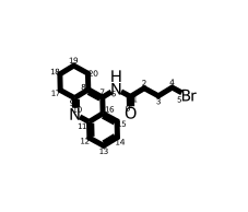 O=C(CCCBr)Nc1c2c(nc3ccccc13)CCCC2